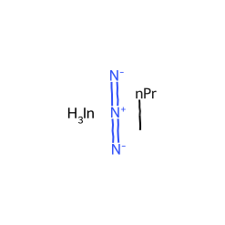 CCCC.[InH3].[N-]=[N+]=[N-]